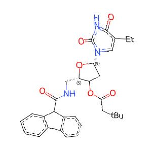 CCc1cn([C@@H]2CC(OC(=O)CC(C)(C)C)[C@H](CNC(=O)C3c4ccccc4-c4ccccc43)O2)c(=O)[nH]c1=O